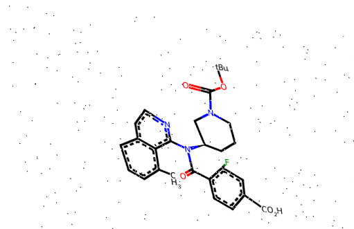 Cc1cccc2ccnc(N(C(=O)c3ccc(C(=O)O)cc3F)[C@@H]3CCCN(C(=O)OC(C)(C)C)C3)c12